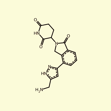 NCc1cc(-c2cccc3c2CN(C2CCC(=O)NC2=O)C3=O)n[nH]1